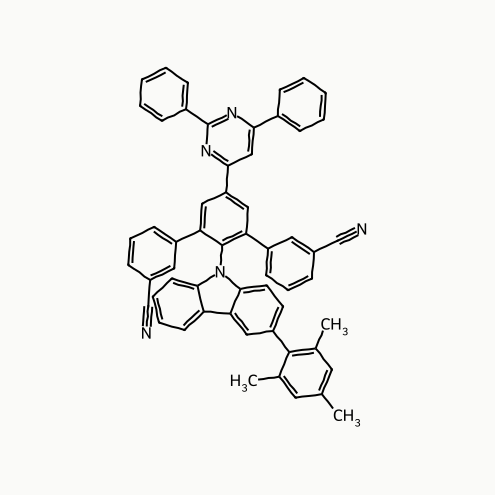 Cc1cc(C)c(-c2ccc3c(c2)c2ccccc2n3-c2c(-c3cccc(C#N)c3)cc(-c3cc(-c4ccccc4)nc(-c4ccccc4)n3)cc2-c2cccc(C#N)c2)c(C)c1